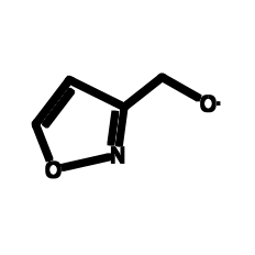 [O]Cc1ccon1